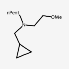 CCCCCN(CCOC)CC1CC1